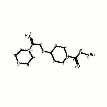 C=C(COC1CCN(C(=O)OC(C)(C)C)CC1)N1CCOCC1